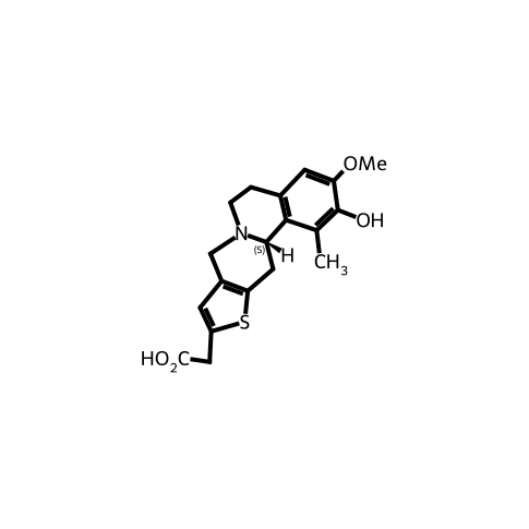 COc1cc2c(c(C)c1O)[C@@H]1Cc3sc(CC(=O)O)cc3CN1CC2